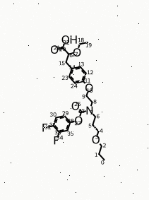 CCCOCCCN(CCOc1ccc(CC(OCC)C(=O)O)cc1)C(=O)Oc1ccc(F)c(F)c1